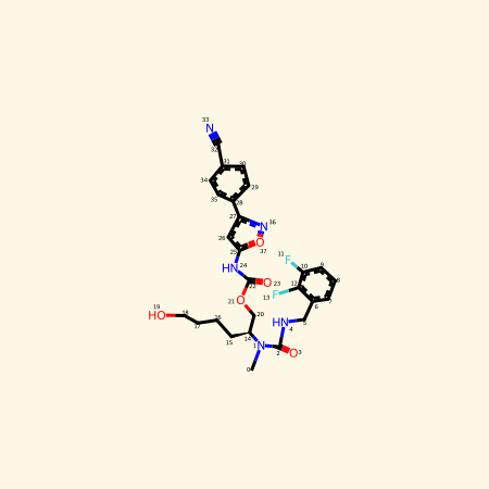 CN(C(=O)NCc1cccc(F)c1F)[C@@H](CCCCO)COC(=O)Nc1cc(-c2ccc(C#N)cc2)no1